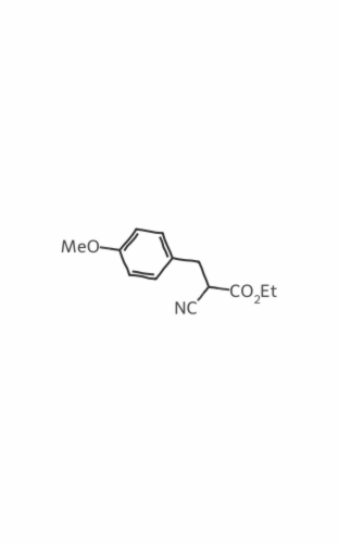 CCOC(=O)C(C#N)Cc1ccc(OC)cc1